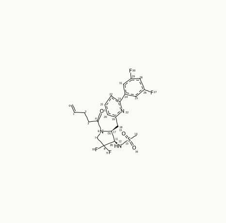 C=CCCC(=O)N1CC(F)(F)[C@H](NS(C)(=O)=O)[C@@H]1Cc1cccc(-c2cc(F)cc(F)c2)n1